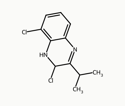 CC(C)C1=Nc2cccc(Cl)c2NC1Cl